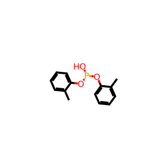 Cc1ccccc1OP(O)Oc1ccccc1C